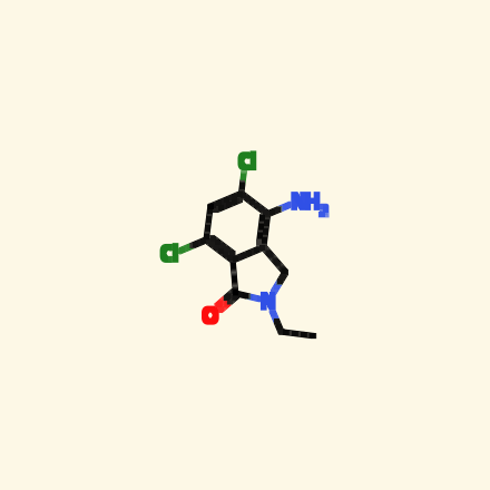 CCN1Cc2c(N)c(Cl)cc(Cl)c2C1=O